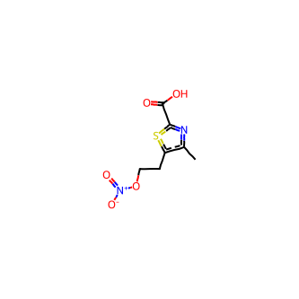 Cc1nc(C(=O)O)sc1CCO[N+](=O)[O-]